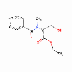 CCOC(=O)C(CO)N(C)C(=O)c1ccccc1